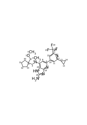 COCC1(CN(C)c2cc(-c3cc(C4CC4)nc(C(F)(F)F)c3)nc3nc(N)[nH]c23)CCCC1